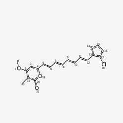 COc1cc(/C=C/C=C/C=C/C=C/c2sccc2Cl)oc(=O)c1C